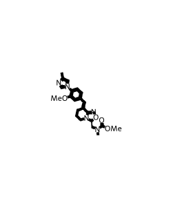 COC(=O)N(C)C[C@@H]1ON=C2/C(=C/c3ccc(-n4cnc(C)c4)c(OC)c3)CCCN21